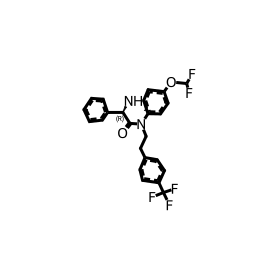 N[C@@H](C(=O)N(CCc1ccc(C(F)(F)F)cc1)c1ccc(OC(F)F)cc1)c1ccccc1